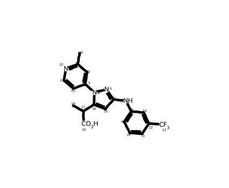 Cc1cc(-n2nc(Nc3cccc(C(F)(F)F)c3)cc2C(C)C(=O)O)ccn1